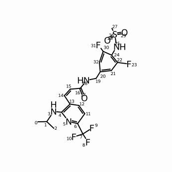 CC(C)Nc1nc(C(F)(F)F)ccc1/C=C\C(=O)NCc1cc(F)c(NS(C)(=O)=O)c(F)c1